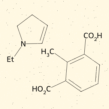 CCN1C=CCC1.Cc1c(C(=O)O)cccc1C(=O)O